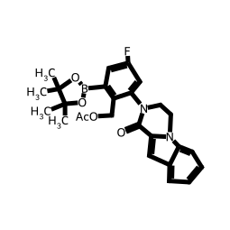 CC(=O)OCc1c(B2OC(C)(C)C(C)(C)O2)cc(F)cc1N1CCn2c(cc3ccccc32)C1=O